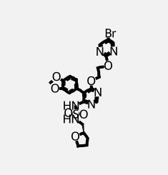 O=S(=O)(NC[C@H]1CCCO1)Nc1ncnc(OCCOc2ncc(Br)cn2)c1-c1ccc2c(c1)OCO2